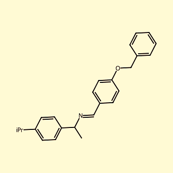 CC(C)c1ccc(C(C)N=Cc2ccc(OCc3ccccc3)cc2)cc1